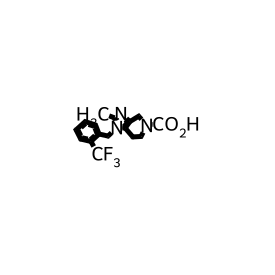 Cc1nc2c(n1Cc1ccccc1C(F)(F)F)CCN(C(=O)O)C2